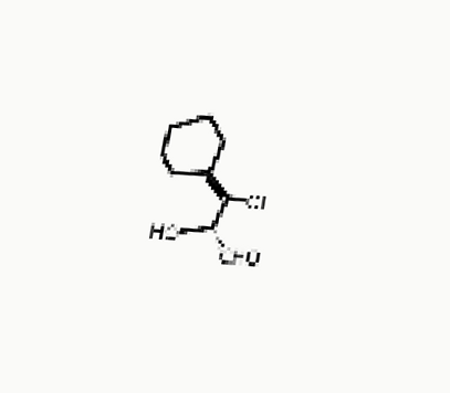 O=C[C@H](O)C(O)=C1CCCCC1